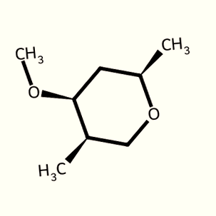 CO[C@H]1C[C@@H](C)OC[C@H]1C